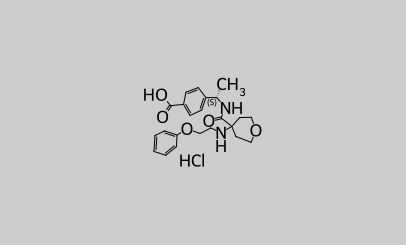 C[C@H](NC(=O)C1(NCCOc2ccccc2)CCOCC1)c1ccc(C(=O)O)cc1.Cl